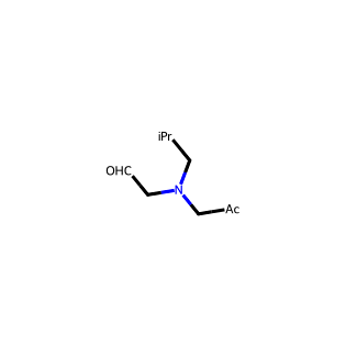 CC(=O)CN(CC=O)CC(C)C